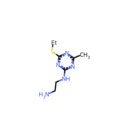 CCSc1nc(C)nc(NCCN)n1